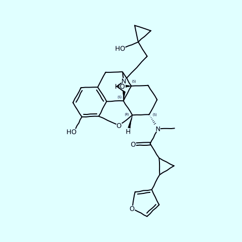 CN(C(=O)C1CC1c1ccoc1)[C@H]1CC[C@@]2(O)C3Cc4ccc(O)c5c4[C@@]2(CCN3CC2(O)CC2)[C@H]1O5